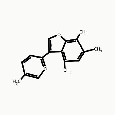 Cc1ccc(-c2coc3c(C)c(C)cc(C)c23)nc1